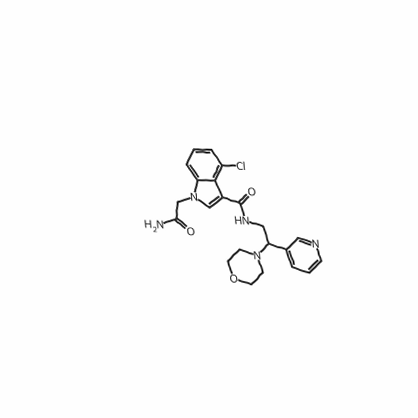 NC(=O)Cn1cc(C(=O)NCC(c2cccnc2)N2CCOCC2)c2c(Cl)cccc21